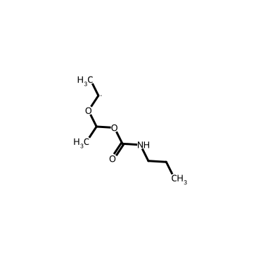 C[CH]OC(C)OC(=O)NCCC